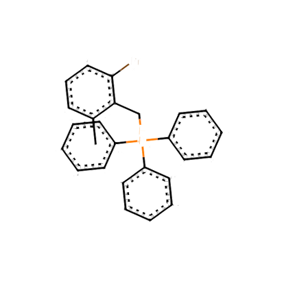 Cc1cccc(Br)c1C[PH](c1ccccc1)(c1ccccc1)c1ccccc1